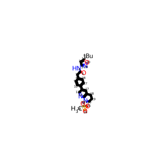 CC(C)(C)c1cc(NC(=O)Cc2ccc(-c3cnc4c(c3)CCCN4OS(C)(=O)=O)cc2)no1